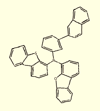 c1cc(-c2ccc3ccccc3c2)cc(N(c2cccc3c2oc2ccccc23)c2cccc3c2sc2ccccc23)c1